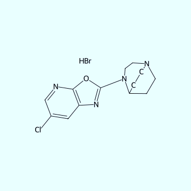 Br.Clc1cnc2oc(N3CCN4CCC3CC4)nc2c1